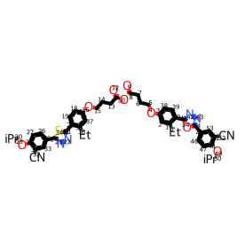 CCc1cc(OCCCC(=O)OC(=O)CCCOc2ccc(-c3nnc(-c4ccc(OC(C)C)c(C#N)c4)s3)c(CC)c2)ccc1-c1nnc(-c2ccc(OC(C)C)c(C#N)c2)o1